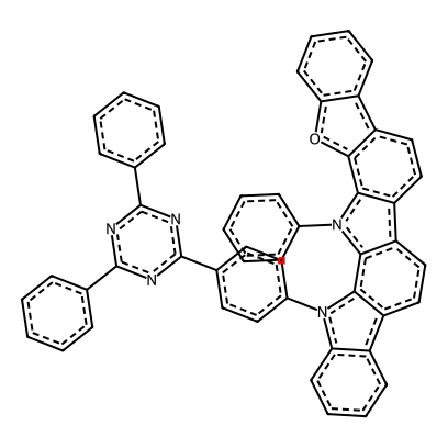 c1ccc(-c2nc(-c3ccccc3)nc(-c3ccc(-n4c5ccccc5c5ccc6c7ccc8c9ccccc9oc8c7n(-c7ccccc7)c6c54)cc3)n2)cc1